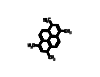 CC1=CC(C)c2ccc3c4c(ccc1c24)C(C)C=C3C